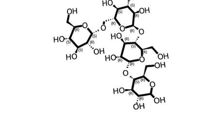 OC[C@H]1O[C@H](OC[C@H]2O[C@H](O[C@H]3[C@H](O)[C@@H](O)[C@@H](O[C@H]4[C@H](O)[C@@H](O)C(O)O[C@@H]4CO)O[C@@H]3CO)[C@H](O)[C@@H](O)[C@@H]2O)[C@H](O)[C@@H](O)[C@@H]1O